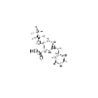 CC(C)(C)[Si](C)(C)OC1CCN(Cc2ccccc2)C[C@@H]1C(=O)O